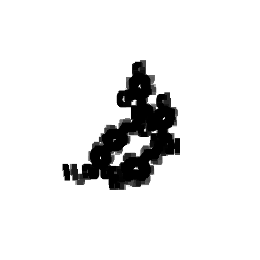 COc1ccc(-c2ccc(C=Cc3nc(-c4ccc(Cl)cc4Cl)c[nH]3)cc2)cc1OC.Clc1ccc(-c2c[nH]c(C=Cc3ccc(Br)cc3)n2)c(Cl)c1